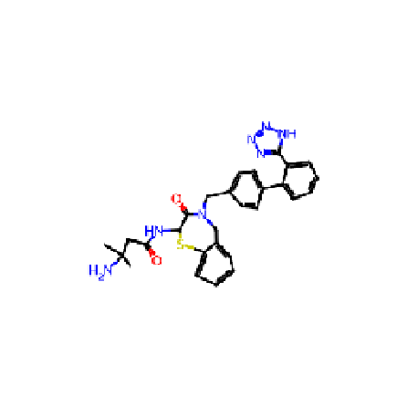 CC(C)(N)CC(=O)NC1Sc2ccccc2CN(Cc2ccc(-c3ccccc3-c3nnn[nH]3)cc2)C1=O